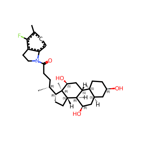 Cc1ccc2c(c1F)CCN2C(=O)CC[C@@H](C)[C@H]1CC[C@H]2[C@@H]3[C@H](O)C[C@@H]4C[C@H](O)CC[C@]4(C)[C@H]3C[C@H](O)[C@]12C